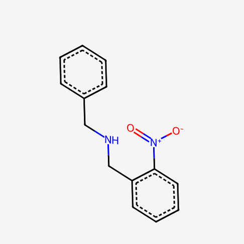 O=[N+]([O-])c1ccccc1CNCc1ccccc1